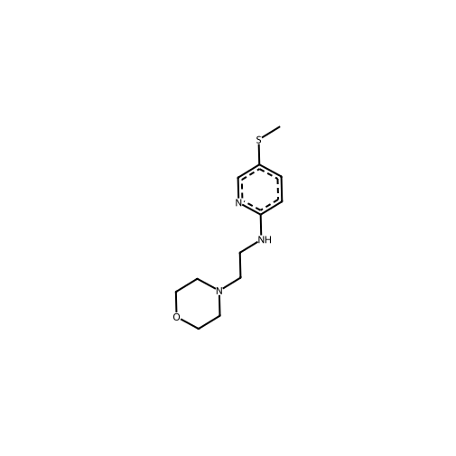 CSc1ccc(NCCN2CCOCC2)nc1